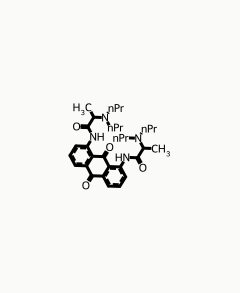 CCCN(CCC)C(C)C(=O)Nc1cccc2c1C(=O)c1c(NC(=O)C(C)N(CCC)CCC)cccc1C2=O